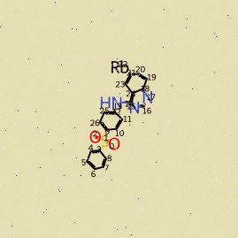 O=S(=O)(c1ccccc1)c1ccc(Nc2ncnc3cc[c]([Rb])cc23)cc1